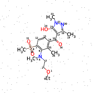 CCOCCN(C)c1c(S(C)(=O)=O)ccc(C(=O)c2c(C)nn(C)c2O)c1C